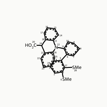 CSc1cccc(-c2ccccc2N2c3ccccc3C(C(=O)O)c3ccccc32)c1SC